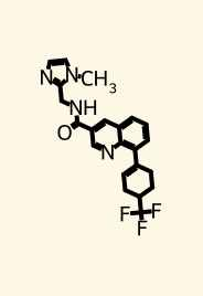 Cn1ccnc1CNC(=O)c1cnc2c(C3=CCC(C(F)(F)F)CC3)cccc2c1